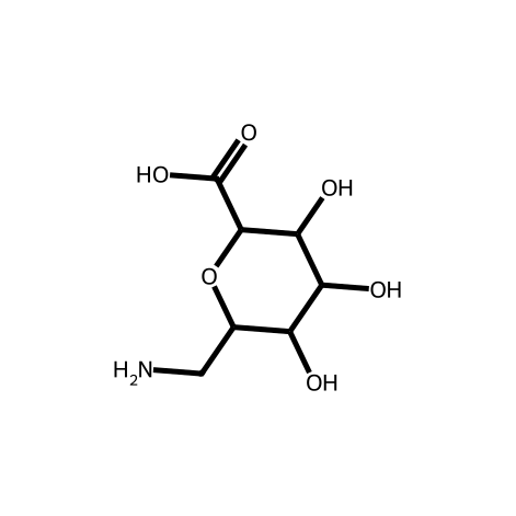 NCC1OC(C(=O)O)C(O)C(O)C1O